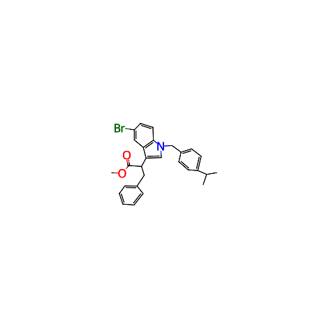 COC(=O)C(Cc1ccccc1)c1cn(Cc2ccc(C(C)C)cc2)c2ccc(Br)cc12